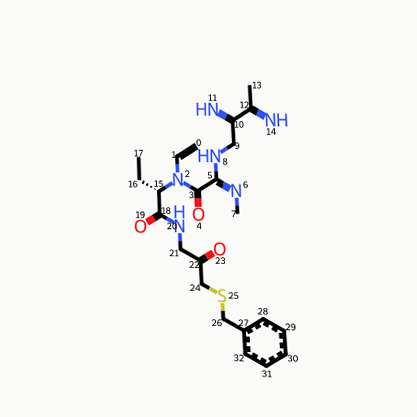 C=CN(C(=O)/C(=N\C)NCC(=N)C(C)=N)[C@@H](CC)C(=O)NCC(=O)CSCc1ccccc1